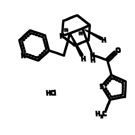 Cc1ccc(C(=O)N[C@@H]2C3CCN(CC3)[C@H]2Cc2cccnc2)s1.Cl